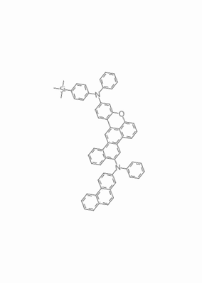 C[Si](C)(C)c1ccc(N(c2ccccc2)c2ccc3c(c2)Oc2cccc4c2c-3cc2c3ccccc3c(N(c3ccccc3)c3ccc5c(ccc6ccccc65)c3)cc42)cc1